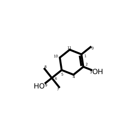 CC1=C(O)CC(C(C)(C)O)CC1